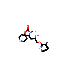 CC(C)N1C(=O)OC2(CCNCC2)C1CC(O)COc1ncccc1C#N